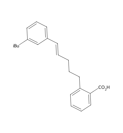 CCC(C)c1cccc(C=CCCCc2ccccc2C(=O)O)c1